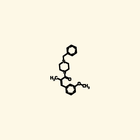 COc1cccc(C=C(C)C(=O)N2CCN(Cc3ccccc3)CC2)c1